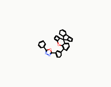 C1=CC2=C(CC1)C1(c3ccccc3Oc3c(C4=CC(c5nnc(-c6ccccc6)o5)=CCC4)cccc31)c1ccccc12